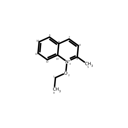 CCO[n+]1c(C)ccc2ccccc21